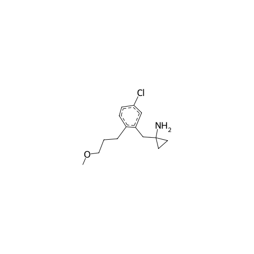 COCCCc1ccc(Cl)cc1CC1(N)CC1